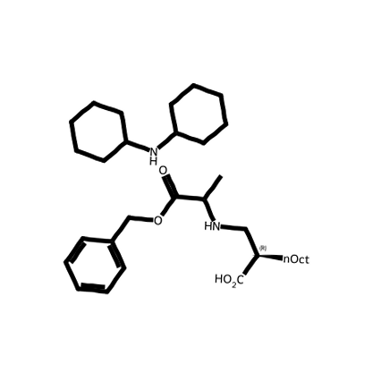 C1CCC(NC2CCCCC2)CC1.CCCCCCCC[C@H](CNC(C)C(=O)OCc1ccccc1)C(=O)O